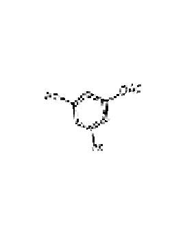 CC(=O)Oc1cc(C(C)=O)cc(C(C)=O)c1